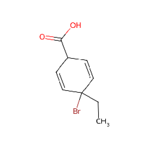 CCC1(Br)C=CC(C(=O)O)C=C1